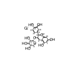 Oc1cc(O)c2cc(O[C@@H]3OC[C@H](O)[C@H](O)[C@H]3O)c(-c3ccc(O)c(O)c3)[o+]c2c1.[Cl-]